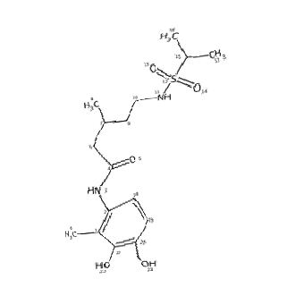 Cc1c(NC(=O)CC(C)CCNS(=O)(=O)C(C)C)ccc(O)c1O